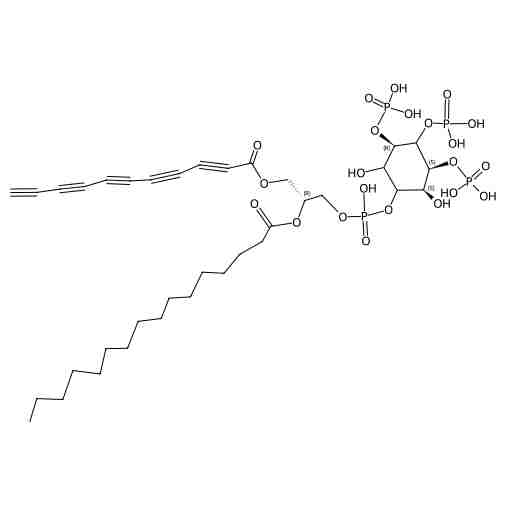 C#CC#CC#CC#CC#CC(=O)OC[C@H](COP(=O)(O)OC1C(O)[C@@H](OP(=O)(O)O)C(OP(=O)(O)O)[C@@H](OP(=O)(O)O)[C@H]1O)OC(=O)CCCCCCCCCCCCCCC